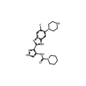 O=C(Nc1c[nH]nc1-c1nc2cc(F)c(N3CCNCC3)cc2[nH]1)N1CCCCC1